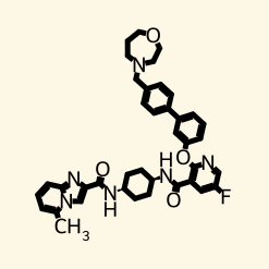 Cc1cccc2nc(C(=O)N[C@H]3CC[C@H](NC(=O)c4cc(F)cnc4Oc4cccc(-c5ccc(CN6CCCOCC6)cc5)c4)CC3)cn12